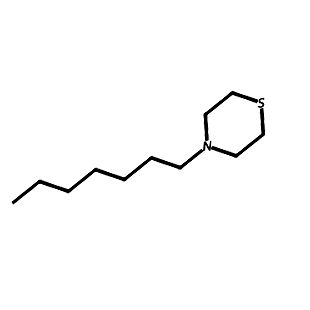 CCCCCCCN1CCSCC1